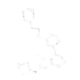 CS(=O)(=O)N(Cc1cccc(-c2ccnc(NCCc3cc(F)cc(F)c3)n2)c1)C[C@H]1CCNC1